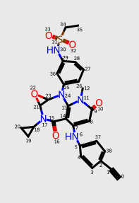 C#Cc1ccc(Nc2cc(=O)n(C)c3c2C(=O)N(C2CC2)C2OC2N3c2cccc(NS(=O)(=O)CC)c2)cc1